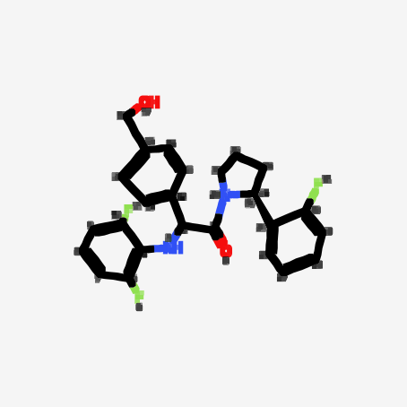 O=C(C(Nc1c(F)cccc1F)c1ccc(CO)cc1)N1CCC[C@H]1c1ccccc1F